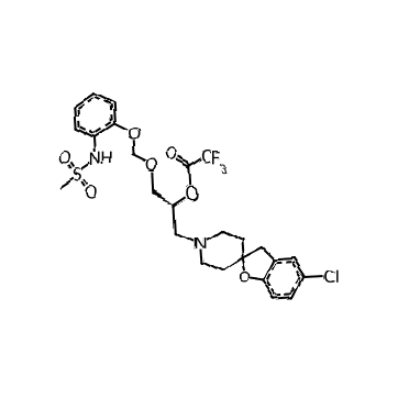 CS(=O)(=O)Nc1ccccc1OCOC[C@H](CN1CCC2(CC1)Cc1cc(Cl)ccc1O2)OC(=O)C(F)(F)F